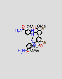 COC(=O)c1c(Br)cccc1-c1nc2c(OC)c(C(N)=O)ccc2n1CCn1c(-c2cccc(Br)c2C(=O)OC)nc2c(OC)c(C(N)=O)ccc21